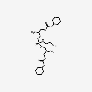 CCCNP(=O)(OCC(C)COC(=O)OC1CCCCC1)OCC(C)COC(=O)OC1CCCCC1